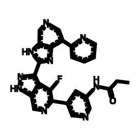 CCC(=O)Nc1cncc(-c2ncc3[nH]nc(-c4nc5c(-c6ccccn6)cncc5[nH]4)c3c2F)c1